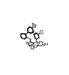 O=C1CNCCN1C(c1cccc(Cl)c1)c1[nH]cnc1Cc1ccccc1-c1ccc(Br)cc1